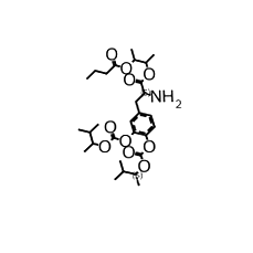 CCCC(=O)OC(C)C(C)OC(=O)[C@@H](N)Cc1ccc(OC(=O)O[C@@H](C)C(C)C)c(OC(=O)OC(C)C(C)C)c1